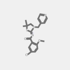 COc1ccc(Cl)cc1C(=O)/N=C1\SC(C)(C)CN1Cc1ccncc1